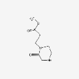 COC(=O)CCN1CCNCC1=O